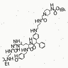 CCC(=O)NCCNC(=O)/N=C(/N)NCCC[C@@H](NC(=O)C(c1ccccc1)c1ccc(NCCCNC(=O)CN2CCC(NC(=O)OC(C)(C)C)CC2)cc1)C(=O)NCc1ccc(O)cc1